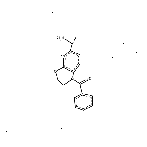 CC(N)c1ccc2c(n1)OCCN2C(=O)c1ccccc1